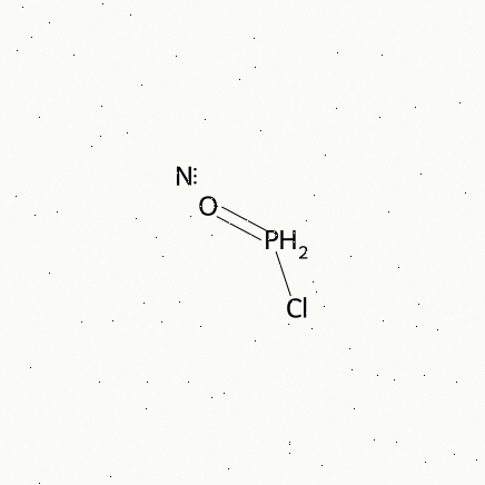 O=[PH2]Cl.[N]